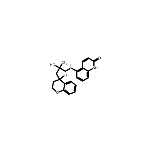 CCC1(CC(O)(CNc2cccc3[nH]c(=O)ccc23)C(F)(F)F)CCOc2ccccc21